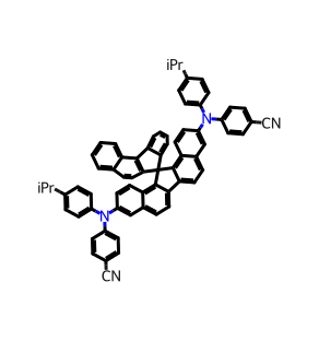 CC(C)c1ccc(N(c2ccc(C#N)cc2)c2ccc3c4c(ccc3c2)-c2ccc3cc(N(c5ccc(C#N)cc5)c5ccc(C(C)C)cc5)ccc3c2C42c3ccccc3-c3c2ccc2ccccc32)cc1